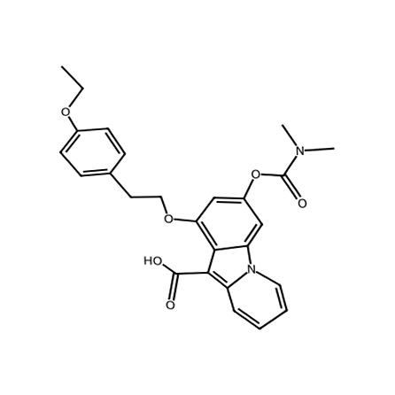 CCOc1ccc(CCOc2cc(OC(=O)N(C)C)cc3c2c(C(=O)O)c2ccccn23)cc1